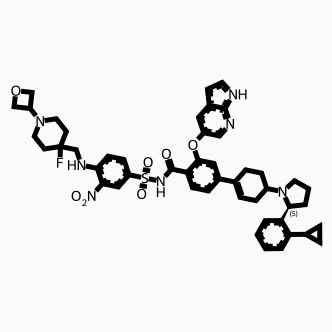 O=C(NS(=O)(=O)c1ccc(NCC2(F)CCN(C3COC3)CC2)c([N+](=O)[O-])c1)c1ccc(C2=CCC(N3CCC[C@H]3c3ccccc3C3CC3)CC2)cc1Oc1cnc2[nH]ccc2c1